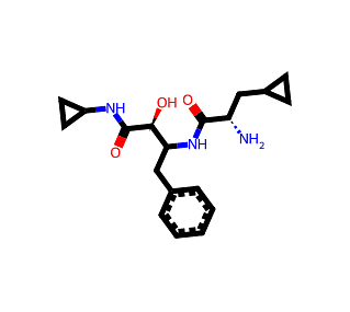 N[C@@H](CC1CC1)C(=O)NC(Cc1ccccc1)[C@H](O)C(=O)NC1CC1